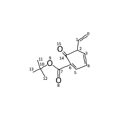 C=CC1C=CC=C(C(=O)OC(C)(C)C)C1=O